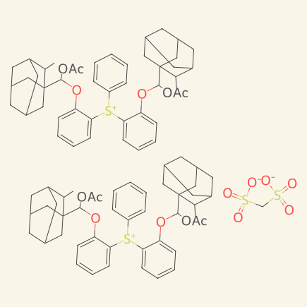 CC(=O)OC(Oc1ccccc1[S+](c1ccccc1)c1ccccc1OC(OC(C)=O)C12CC3CC(CC(C3)C1C)C2)C12CC3CC(CC(C3)C1C)C2.CC(=O)OC(Oc1ccccc1[S+](c1ccccc1)c1ccccc1OC(OC(C)=O)C12CC3CC(CC(C3)C1C)C2)C12CC3CC(CC(C3)C1C)C2.O=S(=O)([O-])CS(=O)(=O)[O-]